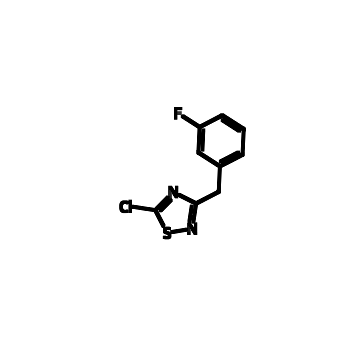 Fc1cccc(Cc2nsc(Cl)n2)c1